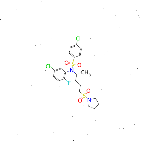 C[C@H](CCCS(=O)(=O)N1CCCC1)N(c1cc(Cl)ccc1F)S(=O)(=O)c1ccc(Cl)cc1